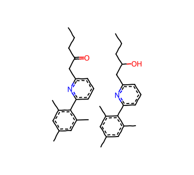 CCCC(=O)Cc1cccc(-c2c(C)cc(C)cc2C)n1.CCCC(O)Cc1cccc(-c2c(C)cc(C)cc2C)n1